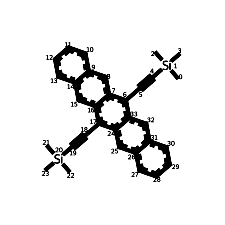 C[Si](C)(C)C#Cc1c2cc3ccccc3cc2c(C#C[Si](C)(C)C)c2cc3ccccc3cc12